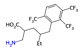 CCC(Cc1c(C(F)(F)F)ccc(C(F)(F)F)c1C(F)(F)F)CC(CN)C(=O)O